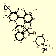 CNC(=O)c1cc2c(c(F)c1-c1c(Cl)c(F)cc3c1C[C@@](CN[C@H]1CC[C@](C)(O)CC1)(c1ccccc1)O3)C1CC1O2